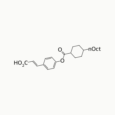 CCCCCCCCC1CCC(C(=O)Oc2ccc(C=CC(=O)O)cc2)CC1